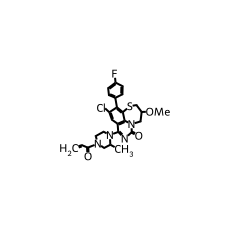 C=CC(=O)N1CCN(c2nc(=O)n3c4c(c(-c5ccc(F)cc5)c(Cl)cc24)SCC(OC)C3)C(C)C1